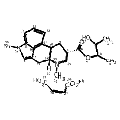 CC(O)C(C)OC(=O)[C@H]1CC2c3cccc4c3c(cn4C(C)C)C[C@H]2N(C)C1.O=C(O)/C=C\C(=O)O